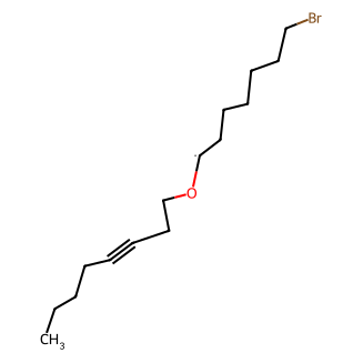 CCCCC#CCCO[CH]CCCCCCBr